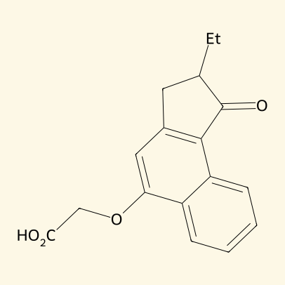 CCC1Cc2cc(OCC(=O)O)c3ccccc3c2C1=O